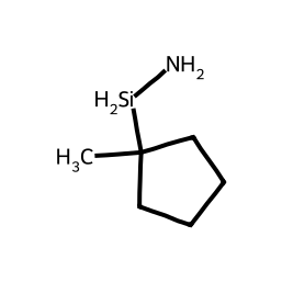 CC1([SiH2]N)CCCC1